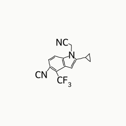 [C-]#[N+]c1ccc2c(cc(C3CC3)n2CC#N)c1C(F)(F)F